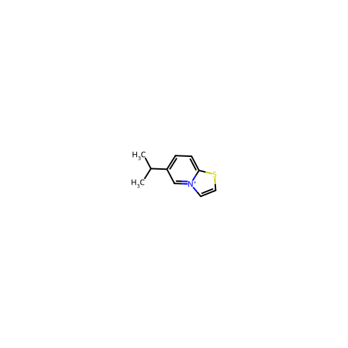 CC(C)c1ccc2scc[n+]2c1